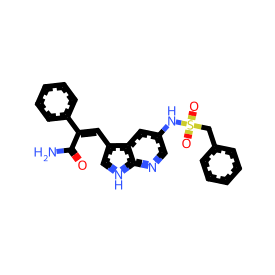 NC(=O)C(=Cc1c[nH]c2ncc(NS(=O)(=O)Cc3ccccc3)cc12)c1ccccc1